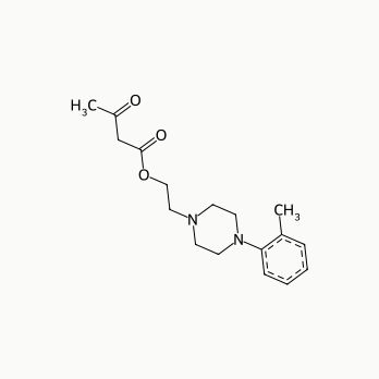 CC(=O)CC(=O)OCCN1CCN(c2ccccc2C)CC1